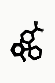 CCC(F)C1CCCC(C2(c3c(F)cccc3F)CCCCC2)C1